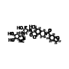 N#CN=C(NC[C@H](NC(=O)c1c(Cl)cc2c(c1Cl)CCN(C(=O)c1ccc3ccoc3c1)C2)C(=O)O)C1C[C@@H](O)[C@H](O)C1